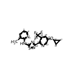 Cc1cccnc1Nc1nc(-c2ncc(OC3CC3)cc2C(F)(F)F)ns1